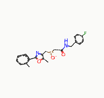 Cc1ccccc1-c1nc(C[S+]([O-])CC(=O)NCc2ccc(F)cc2)c(C)o1